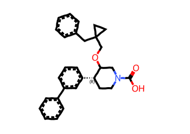 O=C(O)N1CC[C@H](c2cccc(-c3ccccc3)c2)C(OCC2(Cc3ccccc3)CC2)C1